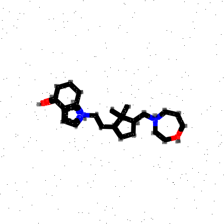 CC1(C)C(CCn2ccc3c2CCCC3=O)CCC1CN1CCCOCC1